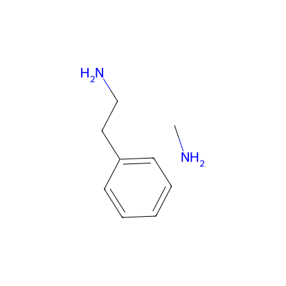 CN.NCCc1ccccc1